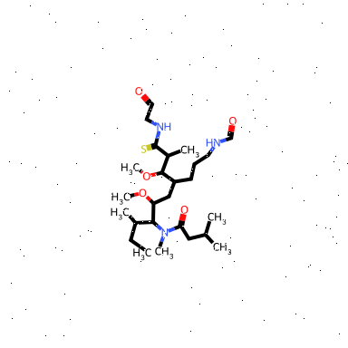 CCC(C)C(C(CC(CCCNC=O)C(OC)C(C)C(=S)NCC=O)OC)N(C)C(=O)CC(C)C